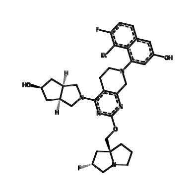 CCc1c(F)ccc2cc(O)cc(N3CCc4c(nc(OC[C@@]56CCCN5C[C@H](F)C6)nc4N4C[C@H]5C[C@@H](O)C[C@H]5C4)C3)c12